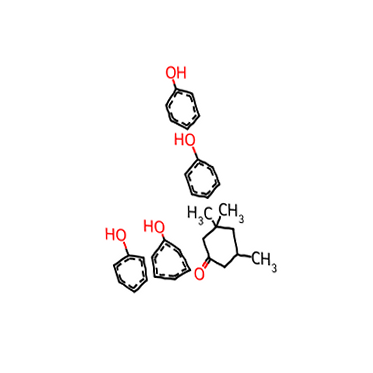 CC1CC(=O)CC(C)(C)C1.Oc1ccccc1.Oc1ccccc1.Oc1ccccc1.Oc1ccccc1